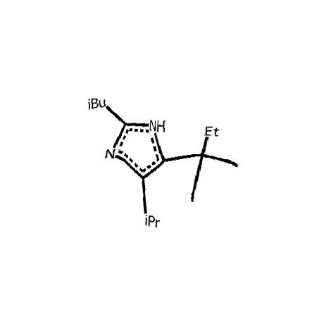 CCC(C)c1nc(C(C)C)c(C(C)(C)CC)[nH]1